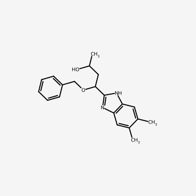 Cc1cc2nc(C(CC(C)O)OCc3ccccc3)[nH]c2cc1C